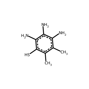 Cc1c(C)c(S)c(N)c(N)c1N